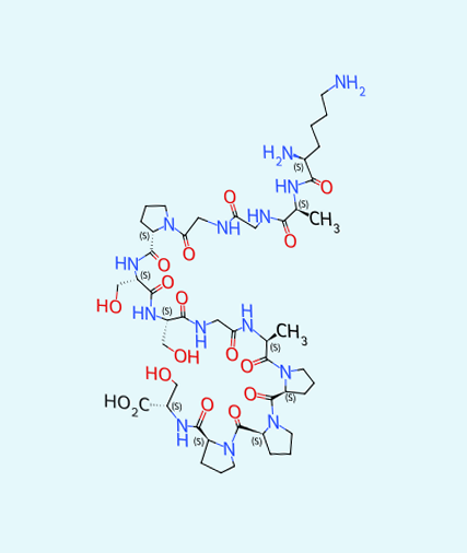 C[C@H](NC(=O)[C@@H](N)CCCCN)C(=O)NCC(=O)NCC(=O)N1CCC[C@H]1C(=O)N[C@@H](CO)C(=O)N[C@@H](CO)C(=O)NCC(=O)N[C@@H](C)C(=O)N1CCC[C@H]1C(=O)N1CCC[C@H]1C(=O)N1CCC[C@H]1C(=O)N[C@@H](CO)C(=O)O